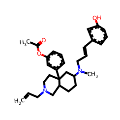 C=CCN1CCC2(c3cccc(OC(C)=O)c3)CC(N(C)C/C=C/c3cccc(O)c3)CCC2C1